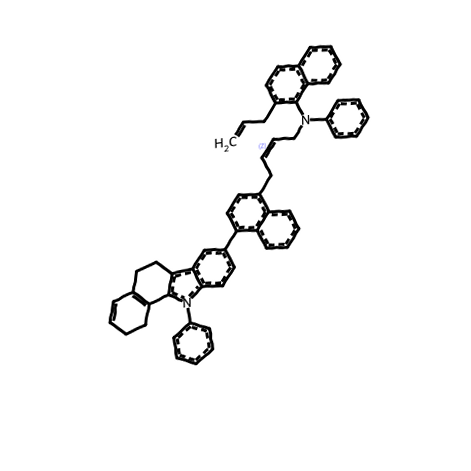 C=CCc1ccc2ccccc2c1N(C/C=C\Cc1ccc(-c2ccc3c(c2)c2c(n3-c3ccccc3)C3=C(C=CCC3)CC2)c2ccccc12)c1ccccc1